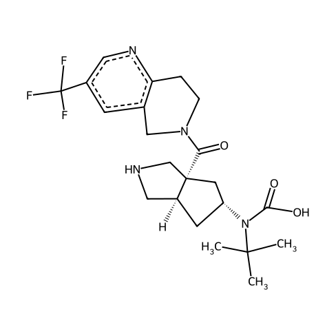 CC(C)(C)N(C(=O)O)[C@@H]1C[C@H]2CNC[C@@]2(C(=O)N2CCc3ncc(C(F)(F)F)cc3C2)C1